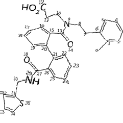 Cc1ccccc1CCN(CCC(=O)O)C(=O)c1ccccc1-c1ccccc1C(=O)NCc1cccs1